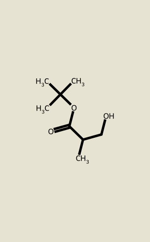 C[C](CO)C(=O)OC(C)(C)C